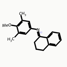 COc1c(C)cc(/N=C2\CCCc3ccccc32)cc1C